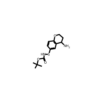 CC(C)(C)OC(=O)NSc1ccc2c(c1)C(N)CCO2